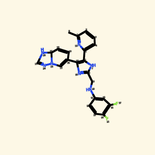 Cc1cccc(-c2[nH]c(CNc3ccc(F)c(F)c3)nc2C2=CN3N=CNC3C=C2)n1